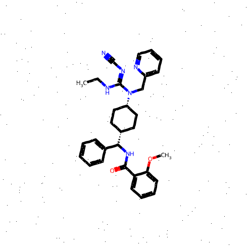 CCNC(=NC#N)N(Cc1ccccn1)[C@H]1CC[C@@H](C(NC(=O)c2ccccc2OC)c2ccccc2)CC1